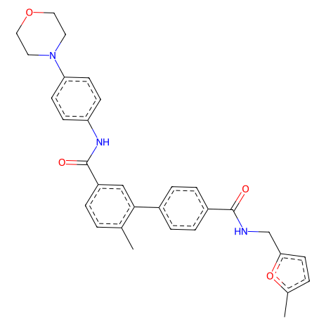 Cc1ccc(CNC(=O)c2ccc(-c3cc(C(=O)Nc4ccc(N5CCOCC5)cc4)ccc3C)cc2)o1